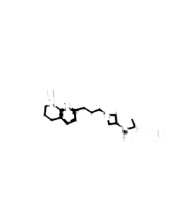 CCN(C1CN(CCCc2ccc3c(n2)NCCC3)C1)C(C)C(=O)O